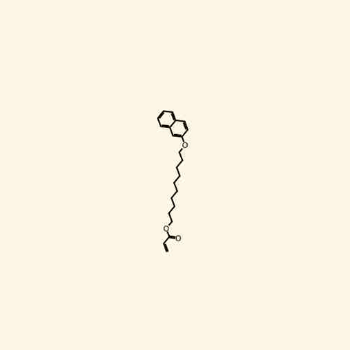 C=CC(=O)OCCCCCCCCCCOc1ccc2ccccc2c1